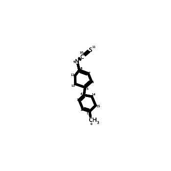 CC1=CC=C(C2=CC=C(N=C=S)CC2)CC1